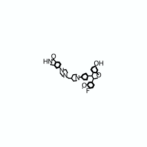 COc1cc(C2COc3cc(O)ccc3C2c2ccc(N3CCC(CN4CCN(c5ccc6c(c5)CNC6=O)CC4)CC3)cc2)ccc1F